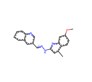 COc1ccc2c(C)cc(N/N=C/c3cnc4ccccc4c3)nc2c1